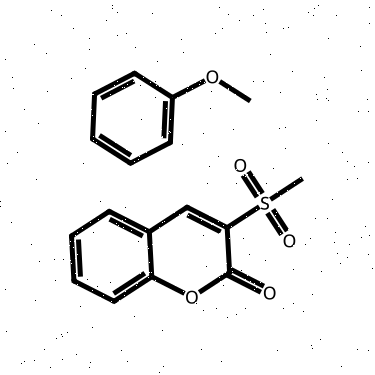 COc1ccccc1.CS(=O)(=O)c1cc2ccccc2oc1=O